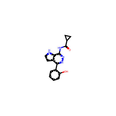 O=C(Nc1nnc(-c2ccccc2O)c2cc[nH]c12)C1CC1